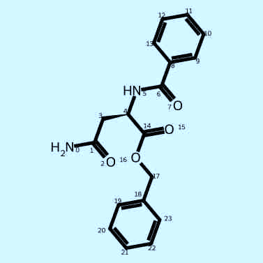 NC(=O)C[C@@H](NC(=O)c1ccccc1)C(=O)OCc1ccccc1